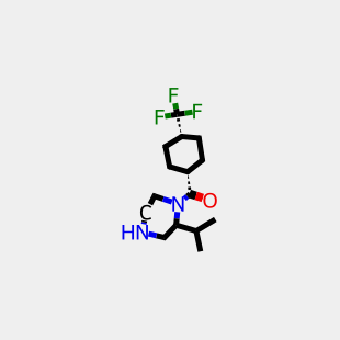 CC(C)C1CNCCN1C(=O)[C@H]1CC[C@@H](C(F)(F)F)CC1